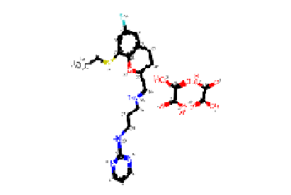 O=C(O)C(=O)O.O=C(O)C(=O)O.O=C(O)CSc1cc(F)cc2c1OC(CNCCCNc1ncccn1)CC2